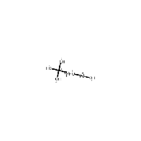 OC(O)(O)O.[OH][Pd][OH]